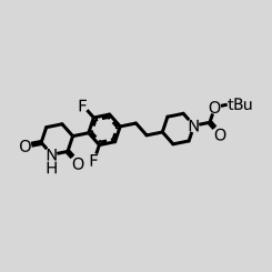 CC(C)(C)OC(=O)N1CCC(CCc2cc(F)c(C3CCC(=O)NC3=O)c(F)c2)CC1